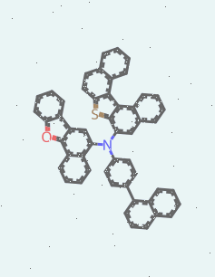 c1ccc2c(-c3ccc(N(c4cc5c6ccccc6oc5c5ccccc45)c4cc5ccccc5c5c4sc4ccc6ccccc6c45)cc3)cccc2c1